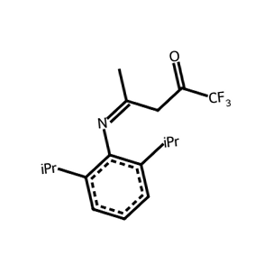 CC(CC(=O)C(F)(F)F)=Nc1c(C(C)C)cccc1C(C)C